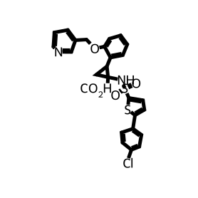 O=C(O)C1(NS(=O)(=O)c2ccc(-c3ccc(Cl)cc3)s2)CC1c1ccccc1OCc1cccnc1